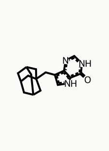 O=c1[nH]cnc2c(CC34CC5CC(CC(C5)C3)C4)c[nH]c12